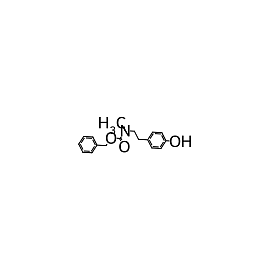 CN(CCc1ccc(O)cc1)C(=O)OCc1ccccc1